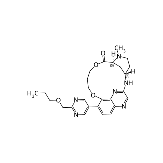 CCCOCc1ncc(-c2ccc3ncc4nc3c2OCCCOC(=O)[C@@H]2C[C@H](CCN2C)N4)cn1